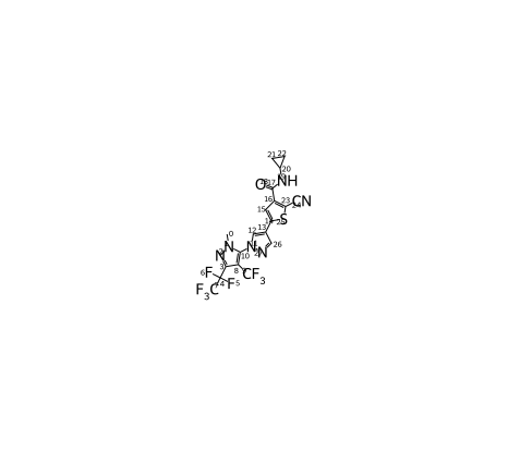 Cn1nc(C(F)(F)C(F)(F)F)c(C(F)(F)F)c1-n1cc(-c2cc(C(=O)NC3CC3)c(C#N)s2)cn1